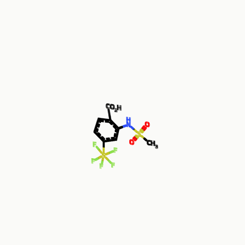 CS(=O)(=O)Nc1cc(S(F)(F)(F)(F)F)ccc1C(=O)O